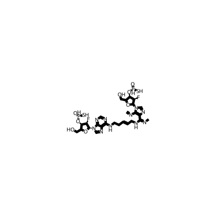 C=Nc1c(/C(=N\C)NC/C=C/CCNc2ncnc3c2ncn3[C@@H]2OC(CO)[C@@H](O[PH](=O)S)[C@H]2F)ncn1C1OC(CO)[C@@H](O[PH](=O)S)[C@H]1F